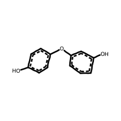 Oc1ccc(Oc2cccc(O)c2)cc1